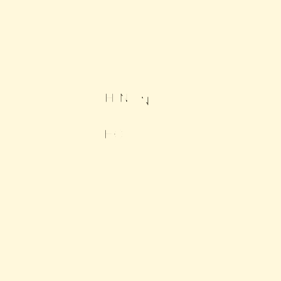 CN(N)CC(O)c1ccccc1